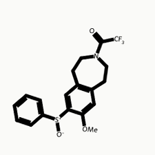 COc1cc2c(cc1[S+]([O-])c1ccccc1)CCN(C(=O)C(F)(F)F)CC2